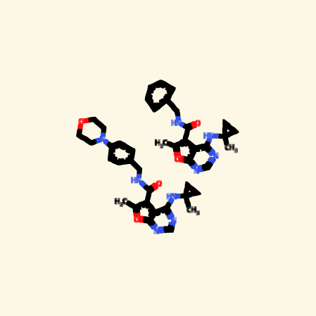 Cc1oc2ncnc(NC3(C)CC3)c2c1C(=O)NCc1ccc(N2CCOCC2)cc1.Cc1oc2ncnc(NC3(C)CC3)c2c1C(=O)NCc1ccccc1